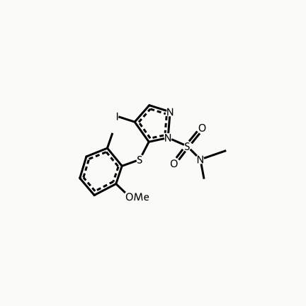 COc1cccc(C)c1Sc1c(I)cnn1S(=O)(=O)N(C)C